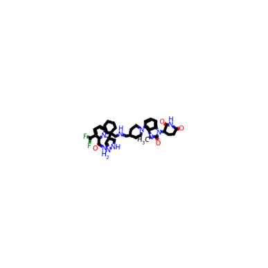 Cn1c(=O)n(C2CCC(=O)NC2=O)c2cccc(N3CCC(CNCC4([C@]5(N6C=CC=C(C(F)F)C6C(N)=O)C=NNC5)CCCCC4)CC3)c21